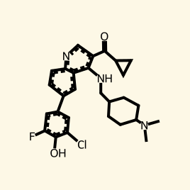 CN(C)C1CCC(CNc2c(C(=O)C3CC3)cnc3ccc(-c4cc(F)c(O)c(Cl)c4)cc23)CC1